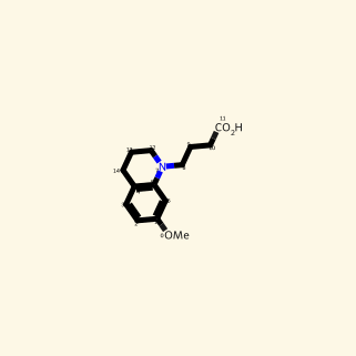 COc1ccc2c(c1)N(CCCC(=O)O)CCC2